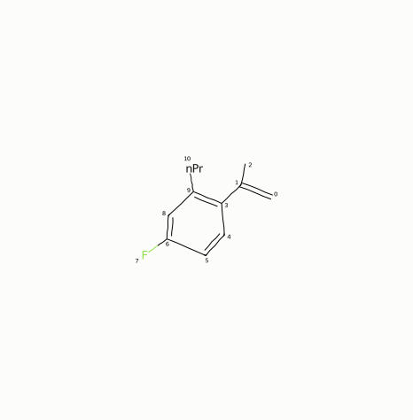 C=C(C)c1ccc(F)cc1CCC